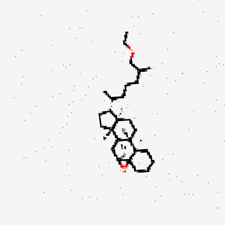 CCOCC(C)CCCC(C)[C@H]1CC[C@H]2[C@@H]3C[C@@H]4OC45CCCC[C@]5(C)[C@H]3CC[C@]12C